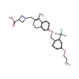 CCCOc1ccc(COc2ccc3c(c2)CCC(CN2CC(C(=O)O)C2)=C3C)c(C(F)(F)F)c1